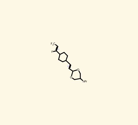 CCCC1COC(/C=C/C2CCC(/C(F)=C/C(F)(F)F)CC2)OC1